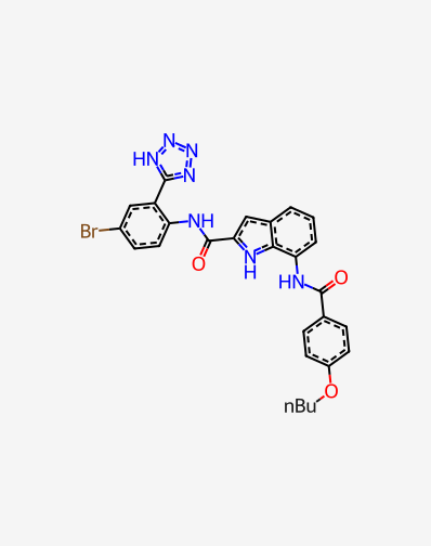 CCCCOc1ccc(C(=O)Nc2cccc3cc(C(=O)Nc4ccc(Br)cc4-c4nnn[nH]4)[nH]c23)cc1